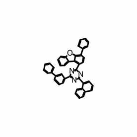 c1ccc(-c2cccc(-c3nc(-c4cccc5ccccc45)nc(-c4ccc(-c5ccccc5)c5oc6ccccc6c45)n3)c2)cc1